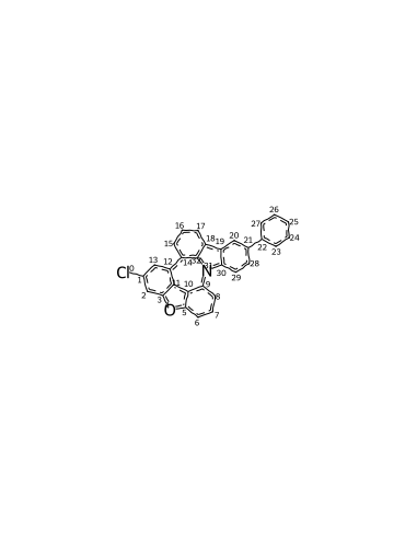 Clc1cc2oc3cccc4c3c2c(c1)c1cccc2c3cc(-c5ccccc5)ccc3n4c12